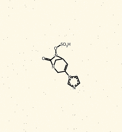 O=C1N2CC(n3ccnc3)=CC(C2)N1OS(=O)(=O)O